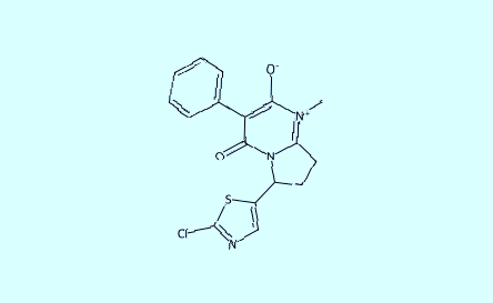 C[n+]1c([O-])c(-c2ccccc2)c(=O)n2c1CCC2c1cnc(Cl)s1